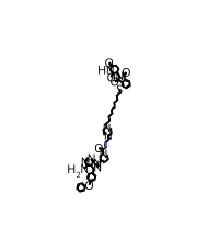 Nc1ncnc2c1c(-c1ccc(Oc3ccccc3)cc1)nn2[C@@H]1CCCN(C(=O)/C=C/CN2CCN(CCCCCCCCCCSc3cccc4c3C(=O)N(C3CCC(=O)NC3=O)C4=O)CC2)C1